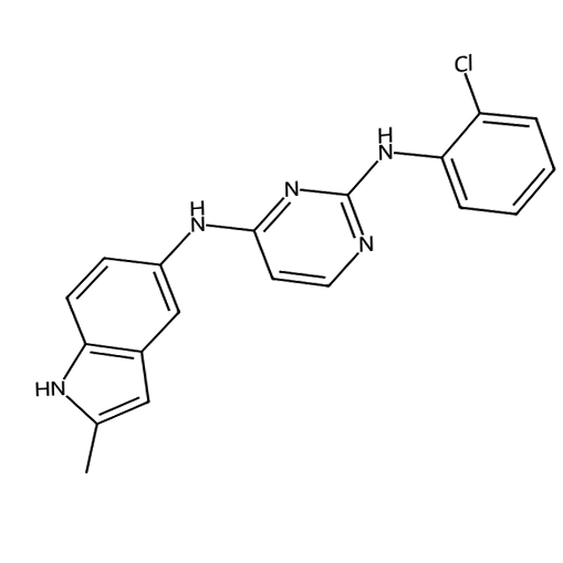 Cc1cc2cc(Nc3ccnc(Nc4ccccc4Cl)n3)ccc2[nH]1